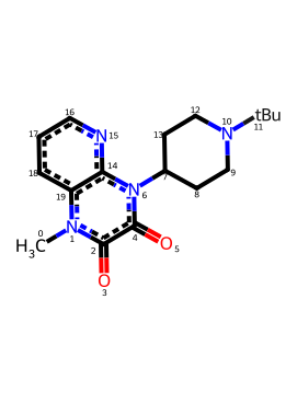 Cn1c(=O)c(=O)n(C2CCN(C(C)(C)C)CC2)c2ncccc21